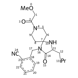 COCC(=O)N1CCC2(CC1)NC(CC(C)C)C(=O)N2Cc1ccccc1C#N